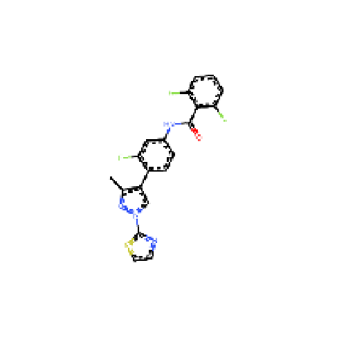 Cc1nn(-c2nccs2)cc1-c1ccc(NC(=O)c2c(F)cccc2F)cc1F